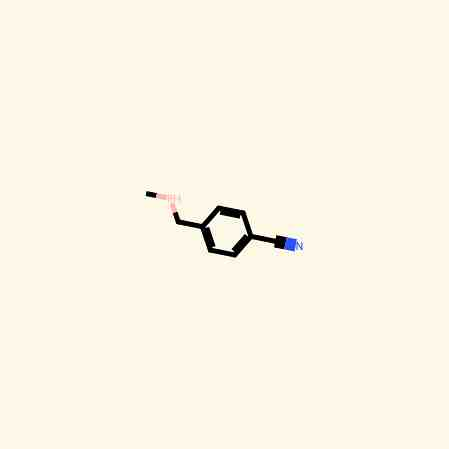 CBCc1ccc(C#N)cc1